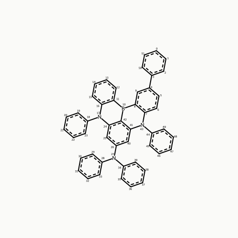 c1ccc(-c2ccc3c(c2)B2c4ccccc4N(c4ccccc4)c4cc(N(c5ccccc5)c5ccccc5)cc(c42)N3c2ccccc2)cc1